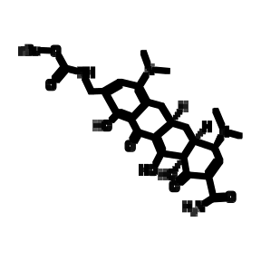 CCCCOC(=O)NCc1cc(N(C)C)c2c(c1O)C(=O)C1=C(O)[C@]3(O)C(=O)C(C(N)=O)=C[C@H](N(C)C)[C@@H]3C[C@@H]1C2